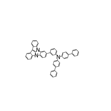 c1ccc(-c2ccc(N(c3ccc(-c4ccccc4)cc3)c3cccc(-c4ccc5c(c4)n4c6ccccc6c6c7ccccc7n5c64)c3)cc2)cc1